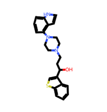 OC(CCN1CCN(c2cccc3[nH]ccc23)CC1)c1csc2ccccc12